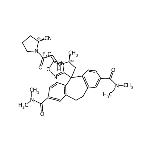 C[C@@H](CC1(c2noc(C(F)(F)F)n2)c2ccc(C(=O)N(C)C)cc2CCc2cc(C(=O)N(C)C)ccc21)NCC(=O)N1CCC[C@H]1C#N